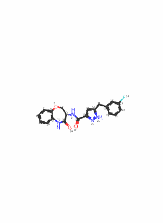 O=C(N[C@@H]1COc2ccccc2NC1=O)c1cc(Cc2cccc(F)c2)[nH]n1